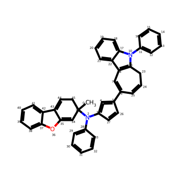 CC1(N(C2=C=C(C3=Cc4c(n(-c5ccccc5)c5ccccc45)CC=C3)C=C2)c2ccccc2)C=c2oc3ccccc3c2=CC1